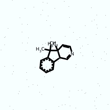 CC1(C)c2ccccc2C2C=NC=CC21C